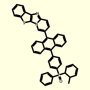 CC1C=CC=CC1P(=O)(c1ccccc1)c1ccc(-c2c3ccccc3c(-c3ccc4nc5c6ccccc6sc5n4c3)c3ccccc23)cc1